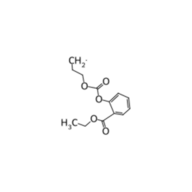 [CH2]CCOC(=O)Oc1ccccc1C(=O)OCC